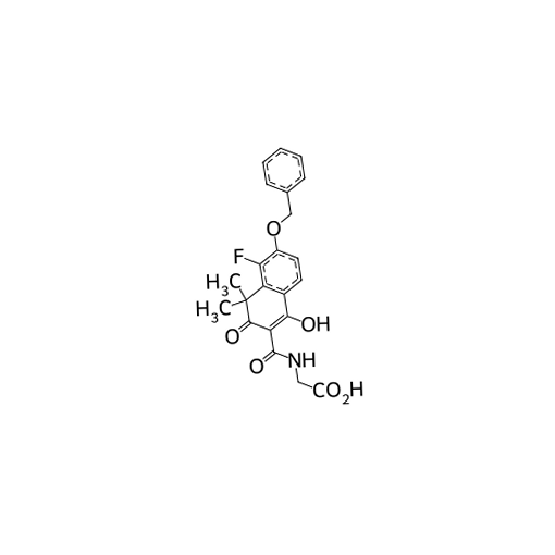 CC1(C)C(=O)C(C(=O)NCC(=O)O)=C(O)c2ccc(OCc3ccccc3)c(F)c21